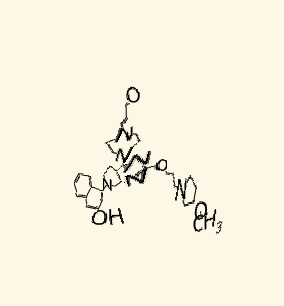 CO[C@@H]1CCN(CCCOc2nc3c(c(N4CCN(C=CC=O)CC4)n2)CCN(c2cc(O)cc4ccccc24)C3)C1